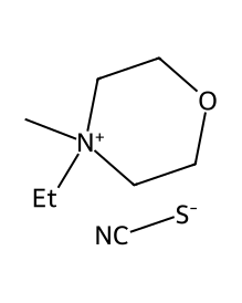 CC[N+]1(C)CCOCC1.N#C[S-]